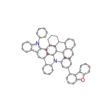 c1ccc(-n2c3ccccc3c3cc(-c4ccccc4N(c4cccc(-c5cccc6oc7ccccc7c56)c4)c4ccccc4-c4cccc5cccc(C6CCCCC6)c45)ccc32)cc1